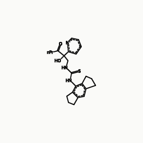 CCCC(=O)C(O)(CNC(=S)Nc1c2c(cc3c1CCC3)CCC2)c1ccccn1